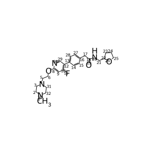 CN1CCN(CCOc2cc(F)c(-c3ccc(CC(=O)NCC4CCCO4)cc3)cn2)CC1